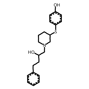 Oc1ccc(SC2CCCN(CC(O)CCc3ccccc3)C2)cc1